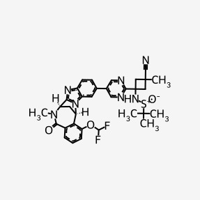 CN1C(=O)c2cccc(OC(F)F)c2[C@H]2C[C@@H]1c1nc3ccc(-c4cnc(C5(N[S+]([O-])C(C)(C)C)CC(C)(C#N)C5)nc4)cc3n12